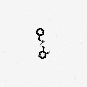 Fc1ccccc1CONCc1ccccc1